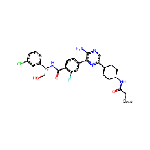 COCC(=O)NC1CCC(c2cnc(N)c(-c3ccc(C(=O)N[C@H](CO)c4cccc(Cl)c4)c(F)c3)n2)CC1